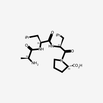 CC(C)C[C@H](NC(=O)[C@H](C)N)C(=O)N[C@@H](CC(C)C)C(=O)N1CCC[C@H]1C(=O)O